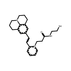 O=C(CC[n+]1ccccc1/C=C/c1cc2c3c(c1)CCCN3CCC2)NCCS